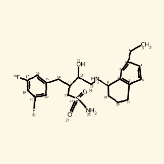 CCc1ccc2c(c1)C(NCC(O)C(Cc1cc(F)cc(F)c1)CS(N)(=O)=O)CCC2